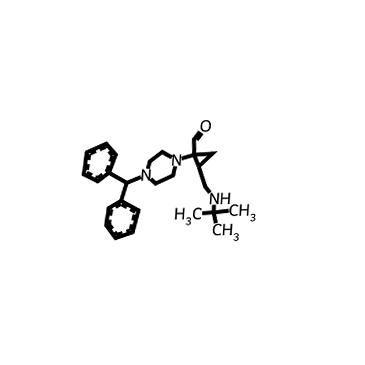 CC(C)(C)NCC1CC1(C=O)N1CCN(C(c2ccccc2)c2ccccc2)CC1